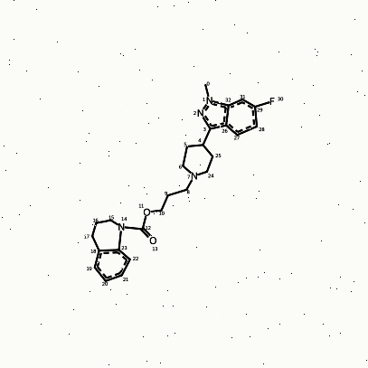 Cn1nc(C2CCN(CCCOC(=O)N3CCCc4ccccc43)CC2)c2ccc(F)cc21